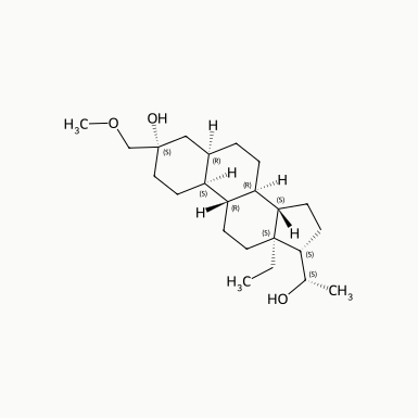 CC[C@]12CC[C@H]3[C@@H](CC[C@@H]4C[C@](O)(COC)CC[C@@H]43)[C@@H]1CC[C@@H]2[C@H](C)O